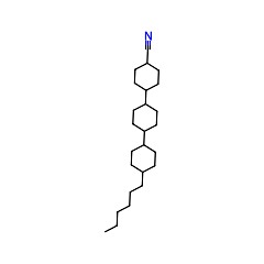 CCCCCCC1CCC(C2CCC(C3CCC(C#N)CC3)CC2)CC1